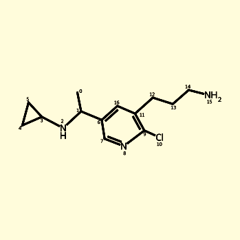 CC(NC1CC1)c1cnc(Cl)c(CCCN)c1